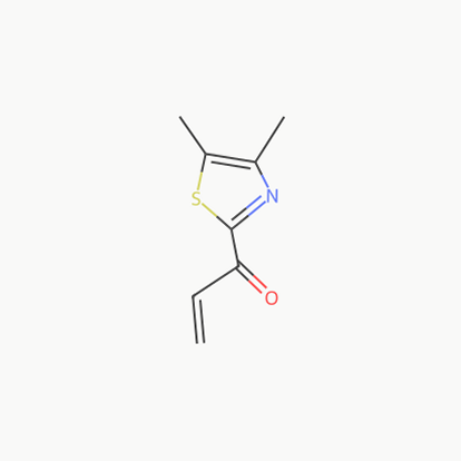 C=CC(=O)c1nc(C)c(C)s1